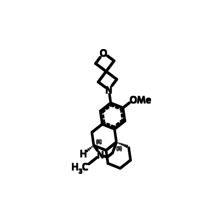 COc1cc2c(cc1N1CC3(COC3)C1)C[C@H]1C3CCCC[C@@]23CCN1C